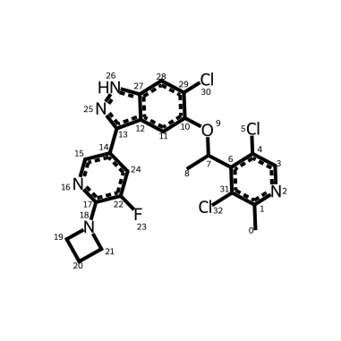 Cc1ncc(Cl)c(C(C)Oc2cc3c(-c4cnc(N5CCC5)c(F)c4)n[nH]c3cc2Cl)c1Cl